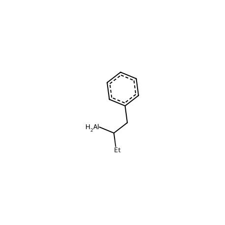 CC[CH]([AlH2])Cc1ccccc1